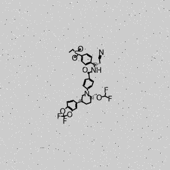 CCS(=O)(=O)c1ccc([C@H](CC#N)NC(=O)c2ccc(N3C[C@H](c4ccc5c(c4)OC(F)(F)O5)CC[C@H]3COC(F)F)cc2)cc1